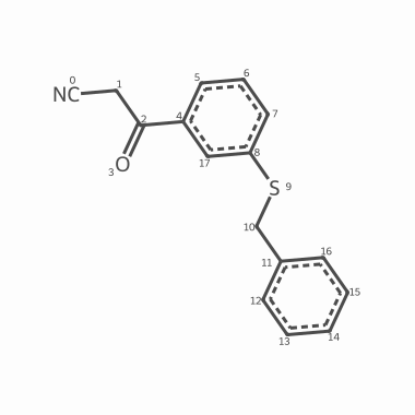 N#CCC(=O)c1cccc(SCc2ccccc2)c1